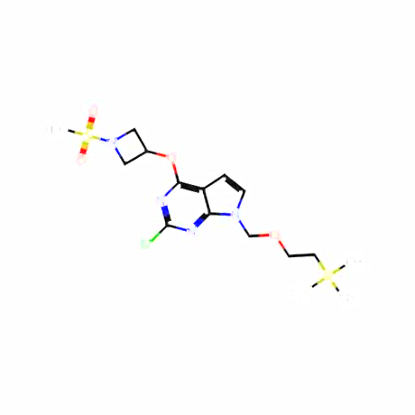 CS(C)(C)CCOCn1ccc2c(OC3CN(S(C)(=O)=O)C3)nc(Cl)nc21